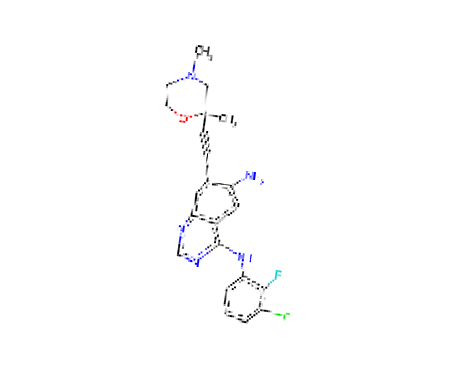 CN1CCOC(C)(C#Cc2cc3ncnc(Nc4cccc(Cl)c4F)c3cc2N)C1